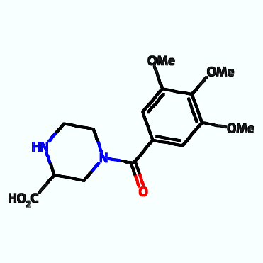 COc1cc(C(=O)N2CCNC(C(=O)O)C2)cc(OC)c1OC